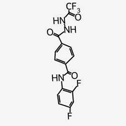 O=C(NNC(=O)C(F)(F)F)c1ccc(C(=O)Nc2ccc(F)cc2F)cc1